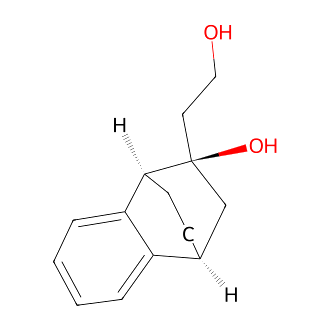 OCC[C@]1(O)C[C@@H]2CC[C@H]1c1ccccc12